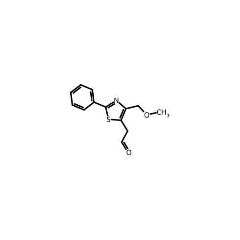 COCc1nc(-c2ccccc2)sc1CC=O